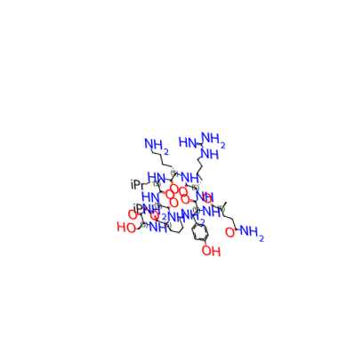 CC(C)C[C@H](NC(=O)[C@H](CC(C)C)NC(=O)[C@H](CCCCN)NC(=O)[C@H](CCCCNC(=N)N)NC(=O)[C@H](Cc1ccc(O)cc1)NC(=O)[C@@H](C)CCC(N)=O)C(=O)N[C@@H](CCCCN)C(=O)N[C@@H](CO)C(N)=O